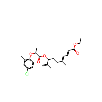 C=C(C)C(CCC(C)=CC=CC(=O)OCC)OC(=O)C(C)Oc1ccc(Cl)cc1C